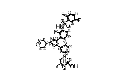 C[C@@H](CNc1cc(-c2sc(C3CCOCC3)nc2-c2cccc(NS(=O)(=O)c3cc(F)ccc3F)c2F)ccn1)N(C)C(=O)O